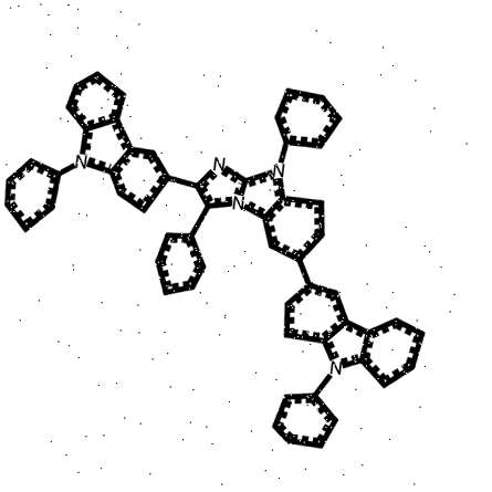 c1ccc(-c2c(-c3ccc4c(c3)c3ccccc3n4-c3ccccc3)nc3n(-c4ccccc4)c4ccc(-c5ccc6c(c5)c5ccccc5n6-c5ccccc5)cc4n23)cc1